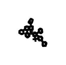 CC1(C)c2cc(-c3ccccc3)ccc2-c2c(-c3ccccc3)cc(N(c3ccc(C4CC5CCC4C5)cc3)c3ccccc3-c3ccccc3C3CCCCC3)cc21